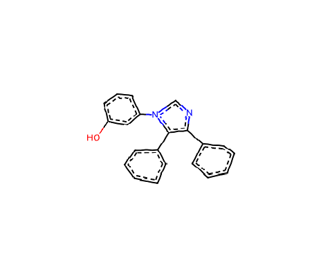 Oc1cccc(-n2cnc(-c3ccccc3)c2-c2ccccc2)c1